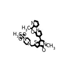 CC(Oc1cc(-c2cn(C)c(=O)c3cc(CN4CCN(S(C)(=O)=O)CC4)sc23)ccn1)c1ccccn1